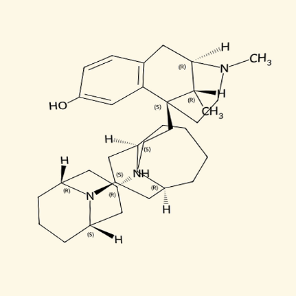 C[C@H]1[C@H]2Cc3ccc(O)cc3[C@@]1(CCN[C@H]1C[C@H]3CCC[C@@H](C1)N3[C@@H]1C[C@@H]3CCCC[C@@H](C3)C1)CCN2C